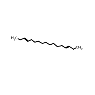 [CH2]CC=CCCCCCCCCCC=CCC